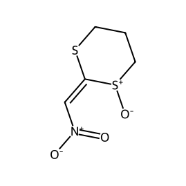 O=[N+]([O-])/C=C1/SCCC[S+]1[O-]